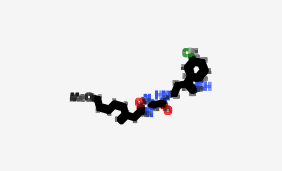 C=C(/C=C\C=C/COC)Cc1nc(C(=O)NCCc2c[nH]c3ccc(Cl)cc23)no1